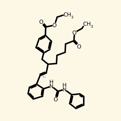 CCOC(=O)CCCCC(/C=C/c1ccccc1NC(=O)Nc1ccccc1)Cc1ccc(C(=O)OCC)cc1